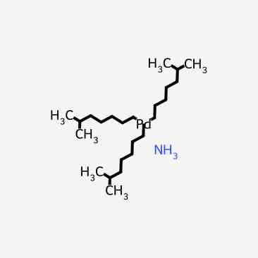 CC(C)CCCC[CH2][Pd]([CH2]CCCCC(C)C)[CH2]CCCCC(C)C.N